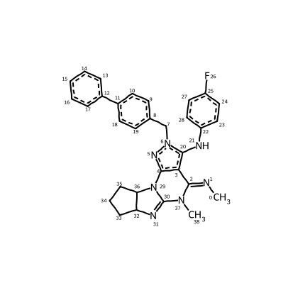 C/N=C1/c2c(nn(Cc3ccc(-c4ccccc4)cc3)c2Nc2ccc(F)cc2)N2C(=NC3CCCC32)N1C